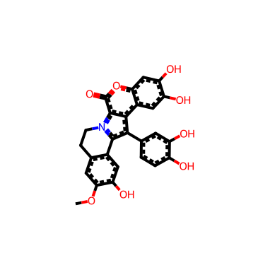 COc1cc2c(cc1O)-c1c(-c3ccc(O)c(O)c3)c3c4cc(O)c(O)cc4oc(=O)c3n1CC2